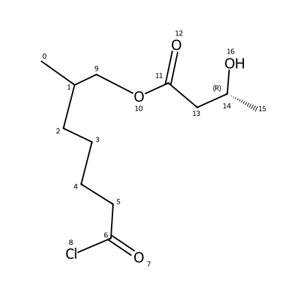 CC(CCCCC(=O)Cl)COC(=O)C[C@@H](C)O